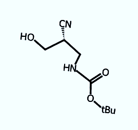 CC(C)(C)OC(=O)NC[C@@H](C#N)CO